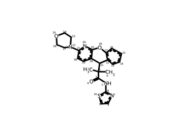 CC(C)(C(=O)Nc1nccs1)C1c2ccccc2Oc2nc(N3CCOCC3)ccc21